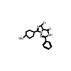 CCC1N=C(C2CCC(C(C)(C)C)CC2)N2N=C(c3ccccc3)NC(=O)C12